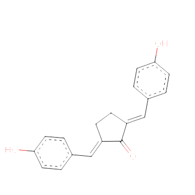 O=C1C(=Cc2ccc(O)cc2)CCC1=Cc1ccc(O)cc1